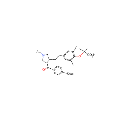 CSc1ccc(C(=O)C2CN(C(C)=O)CC2CCc2cc(C)c(OC(C)(C)C(=O)O)c(C)c2)cc1